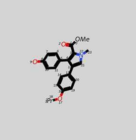 COC(=O)c1c(-c2ccc([O])cc2)c(-c2ccc(OC(C)C)cc2)cn1C